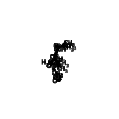 COC(=O)C(C)(Br)CC(C)(CC(C)(C)C(=O)OCCOC(=O)ON1C(=O)CCC1=O)C(=O)OCCOP(=O)(O)OCC[N+](C)(C)C